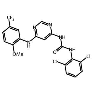 COc1ccc(C(F)(F)F)cc1Nc1cc(NC(=O)Nc2c(Cl)cccc2Cl)ncn1